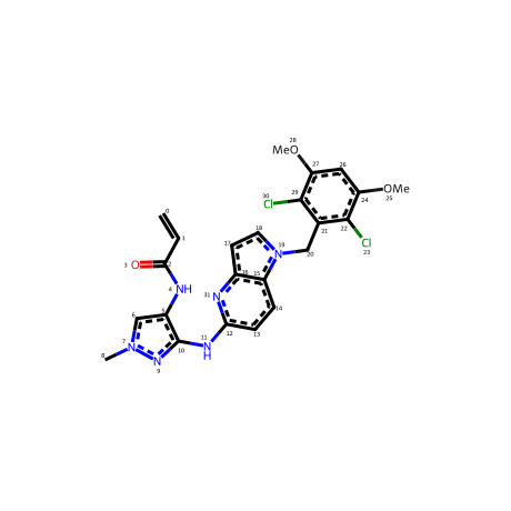 C=CC(=O)Nc1cn(C)nc1Nc1ccc2c(ccn2Cc2c(Cl)c(OC)cc(OC)c2Cl)n1